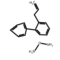 C=CCc1ccccc1-c1ccccc1.[SiH3]O[SiH3]